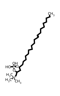 CCCCCCCCC=CCCCCCCCCCCCCC(C[N+](C)(C)C)OP(=O)(O)O